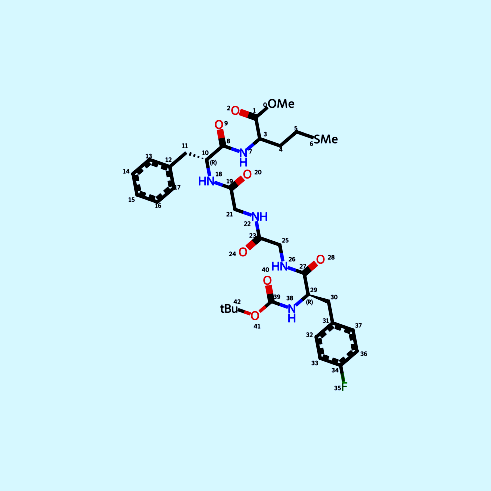 COC(=O)C(CCSC)NC(=O)[C@@H](Cc1ccccc1)NC(=O)CNC(=O)CNC(=O)[C@@H](Cc1ccc(F)cc1)NC(=O)OC(C)(C)C